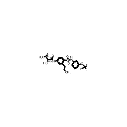 CCCc1cc(NC(=O)[C@@H](O)C(C)C)ccc1S(=O)(=O)Nc1cccc(OC(F)(F)F)c1